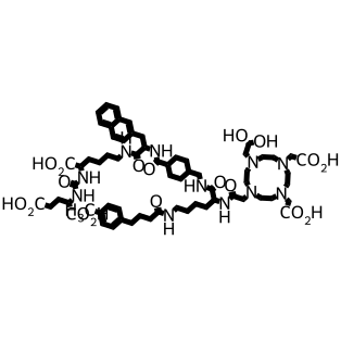 Cc1ccc(CCCC(=O)NCCCCC(NC(=O)CN2CCN(CC(=O)O)CCN(CC(=O)O)CCN(CC(O)O)CC2)C(=O)NCC2CCC(C(=O)NC(Cc3ccc4ccccc4c3)C(=O)NCCCCC(NC(=O)NC(CCC(=O)O)C(=O)O)C(=O)O)CC2)cc1